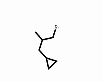 CC(CBr)CC1CC1